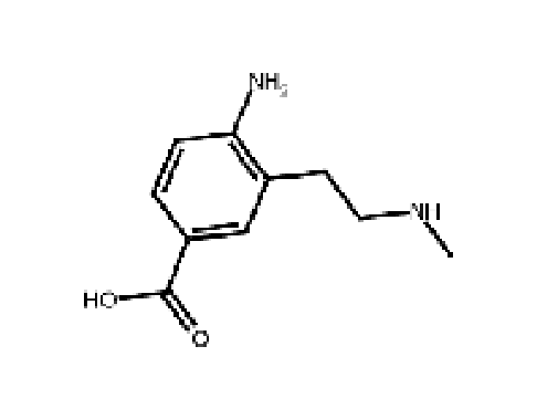 CNCCc1cc(C(=O)O)ccc1N